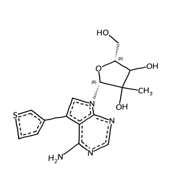 CC1(O)C(O)[C@@H](CO)O[C@H]1n1cc(-c2ccsc2)c2c(N)ncnc21